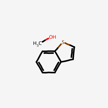 CO.c1ccc2sccc2c1